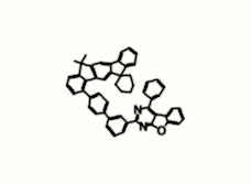 CC1(C)c2cc3c(cc2-c2c(-c4ccc(-c5cccc(-c6nc(-c7ccccc7)c7c(n6)oc6ccccc67)c5)cc4)cccc21)C1(CCCCC1)c1ccccc1-3